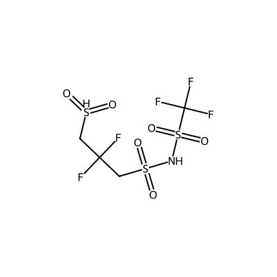 O=[SH](=O)CC(F)(F)CS(=O)(=O)NS(=O)(=O)C(F)(F)F